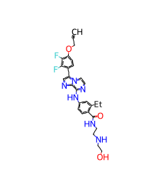 C#CCOc1ccc(-c2cnc3c(Nc4ccc(C(=O)NCCNCCO)c(CC)c4)nccn23)c(F)c1F